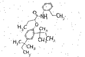 [CH2]Cc1ccccc1NC(=O)C(CC)Oc1ccc(C(C)(C)CC)cc1C(C)(C)CC